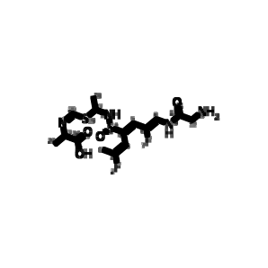 C\C(F)=C/C(=C\C(F)=C\NC(=O)CN)[S+]([O-])NC(C)S/C=N\C(C)C(=O)O